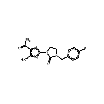 Cc1nc(N2CCN(Cc3ccc(F)cc3)C2=O)sc1C(N)=O